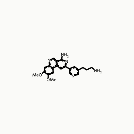 COc1cc2ncc3c(N)nc(-c4cncc(CCCN)c4)cc3c2cc1OC